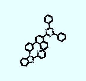 c1ccc(-c2nc(-c3ccccc3)nc(-c3ccc(-c4cccc(-n5c(-c6ccccn6)nc6ccccc65)c4)c4ccccc34)n2)cc1